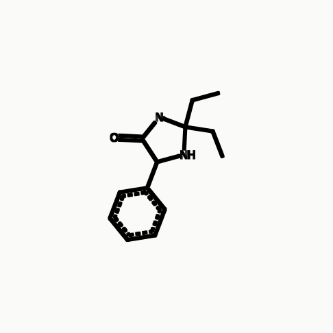 CCC1(CC)[N]C(=O)C(c2ccccc2)N1